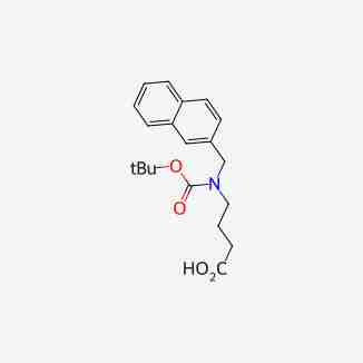 CC(C)(C)OC(=O)N(CCCC(=O)O)Cc1ccc2ccccc2c1